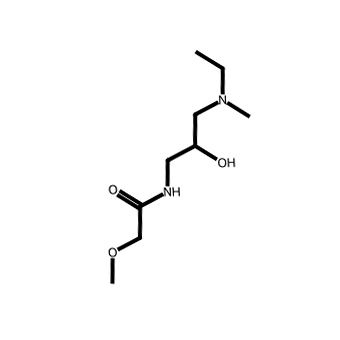 CCN(C)CC(O)CNC(=O)COC